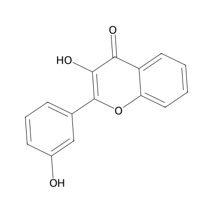 O=c1c(O)c(-c2cccc(O)c2)oc2ccccc12